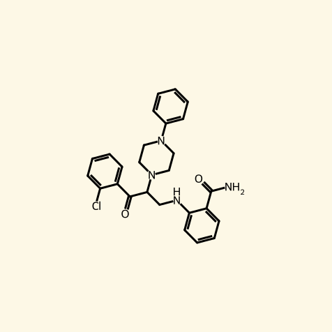 NC(=O)c1ccccc1NCC(C(=O)c1ccccc1Cl)N1CCN(c2ccccc2)CC1